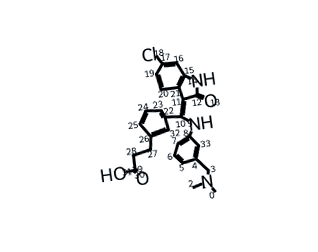 CN(C)Cc1cccc(N/C(=C2\C(=O)Nc3cc(Cl)ccc32)c2cccc(CCC(=O)O)c2)c1